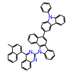 Cc1ccc(-c2nc(-n3c4ccccc4c4cc(-c5ccc6c(c5)c5ccccc5n6-c5ccccc5)c5ccccc5c43)nc3ccccc23)c2ccccc12